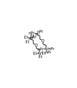 CCC[N+](CCC)(CCC)CCOCC[N+](CCC)(CCC)CCC.CC[N+](CC)(CC)CCOCC[N+](CC)(CC)CC